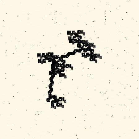 C[SiH](O[Si](C)(C)C)O[Si](C)(CCCCCC[Si](C)(O[Si](C)(C)O[Si](C)(C)C)O[Si](C)(CCCCCCCCCCC(=O)O[Si](C)(C)C)O[Si](C)(C)C)O[Si](C)(C)O[Si](C)(C)C